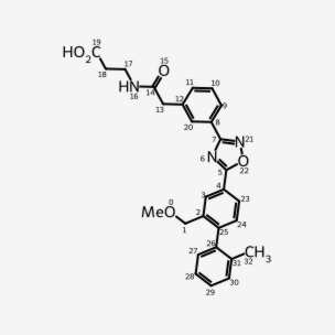 COCc1cc(-c2nc(-c3cccc(CC(=O)NCCC(=O)O)c3)no2)ccc1-c1ccccc1C